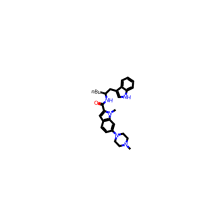 CCCCC(Cc1c[nH]c2ccccc12)NC(=O)c1cc2ccc(N3CCN(C)CC3)cc2n1C